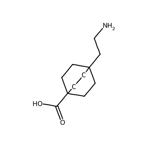 NCCC12CCC(C(=O)O)(CC1)CC2